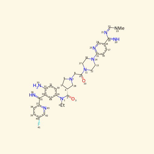 CCN(C(=O)[C@@H]1CCN(CC(=O)N2CCN(c3ccc(C(=N)/N=C\NC)cn3)CC2)C1)c1ccc(N)c(C(=N)c2ccc(F)cn2)c1